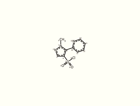 Cn1ncc(S(=O)(=O)Cl)c1-c1ccccn1